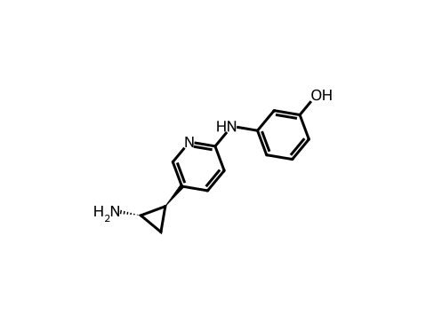 N[C@H]1C[C@@H]1c1ccc(Nc2cccc(O)c2)nc1